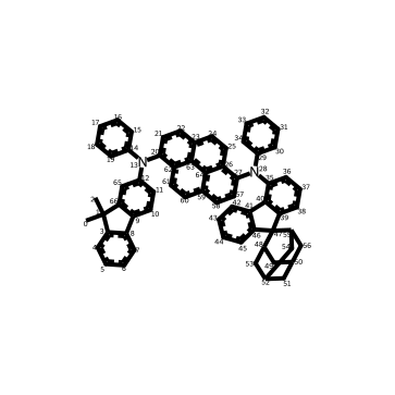 CC1(C)c2ccccc2-c2ccc(N(c3ccccc3)c3ccc4ccc5c(N(c6ccccc6)c6cccc7c6-c6ccccc6C76C7CC8CC(C7)CC6C8)ccc6ccc3c4c65)cc21